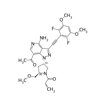 C=CC(=O)N1C[C@@H](n2nc(C#Cc3c(F)c(OC)cc(OC)c3F)c3c(N)ncc(C(C)=O)c32)C[C@@H]1COC